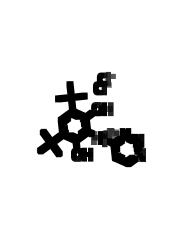 CC(C)(C)c1cc(C(C)(C)C)c(O)[c]([Hf+2][c]2ccnnn2)c1O.[Cl-].[Cl-]